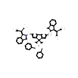 N#CC(C#N)=C1/C(=N/c2cc3c(s2)-c2sc(/N=C4\C(=O)c5ccccc5C4=C(C#N)C#N)cc2C3(C(=O)OCc2ccccc2)C(=O)OCc2ccccc2)C(=O)c2ccccc21